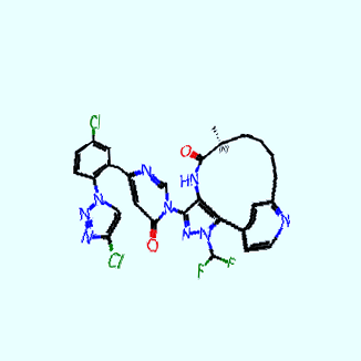 C[C@@H]1CCCCc2cc(ccn2)-c2c(c(-n3cnc(-c4cc(Cl)ccc4-n4cc(Cl)nn4)cc3=O)nn2C(F)F)NC1=O